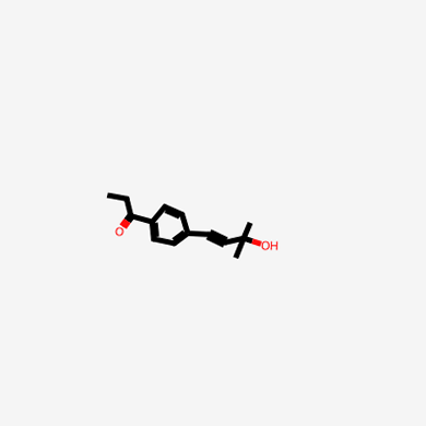 CCC(=O)c1ccc(C#CC(C)(C)O)cc1